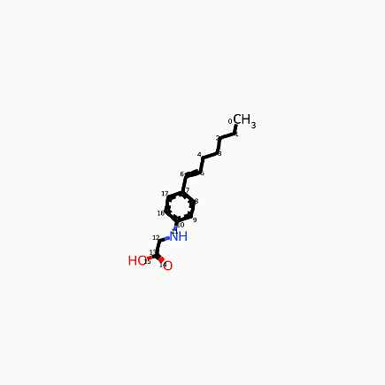 CCCCCC=Cc1ccc(NCC(=O)O)cc1